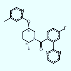 Cc1ccnc(O[C@@H]2CC[C@@H](C)N(C(=O)c3ccc(F)cc3-c3ncccn3)C2)c1